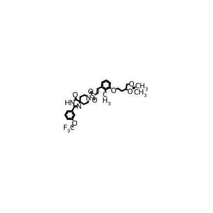 Cc1c(/C=C/S(=O)(=O)N2CCC3(CC2)N=C(c2cccc(OC(F)(F)F)c2)NC3=O)cccc1OCCC1COC(C)(C)O1